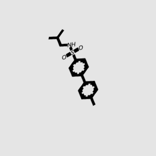 Cc1ccc(-c2ccc(S(=O)(=O)NCC(C)C)cc2)cc1